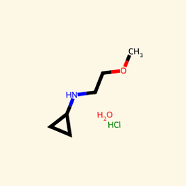 COCCNC1CC1.Cl.O